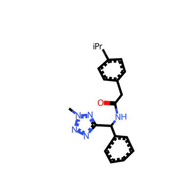 CC(C)c1ccc(CC(=O)NC(c2ccccc2)c2nnn(C)n2)cc1